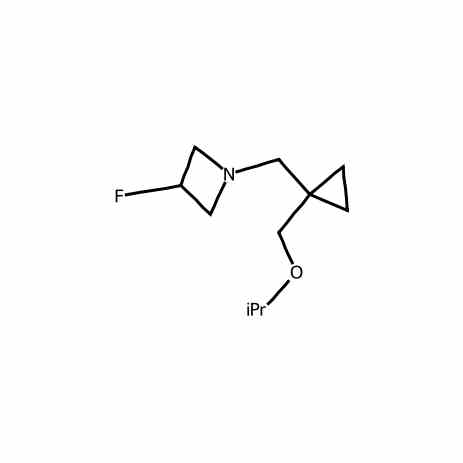 CC(C)OCC1(CN2CC(F)C2)CC1